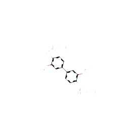 CCCCCOc1ccc(-c2ccc(OCCCCC)c(OC(C)C)c2)cc1OC(C)C